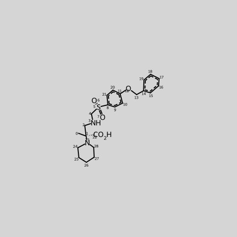 C[C@](CNCS(=O)(=O)c1ccc(OCc2ccccc2)cc1)(C(=O)O)N1CCCCC1